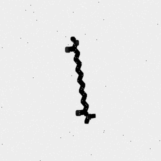 COC(=O)CCCCCCCCCCCC(=O)N(C)C